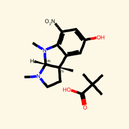 CC(C)(C)C(=O)O.CN1CC[C@@]2(C)c3cc(O)cc([N+](=O)[O-])c3N(C)[C@@H]12